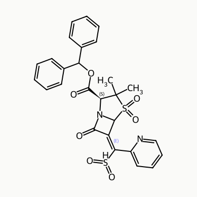 CC1(C)[C@H](C(=O)OC(c2ccccc2)c2ccccc2)N2C(=O)/C(=C(/c3ccccn3)[SH](=O)=O)C2S1(=O)=O